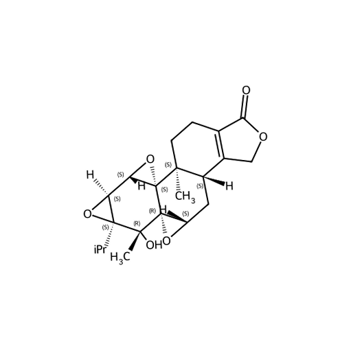 CC(C)[C@]12O[C@H]1[C@@H]1O[C@]13[C@]1(O[C@H]1C[C@H]1C4=C(CC[C@@]13C)C(=O)OC4)[C@]2(C)O